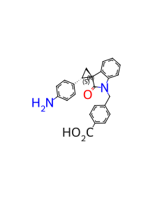 Nc1ccc([C@@H]2C[C@@]23C(=O)N(Cc2ccc(C(=O)O)cc2)c2ccccc23)cc1